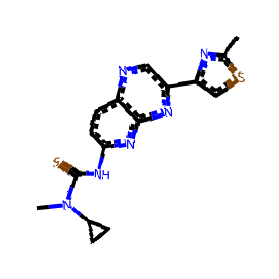 Cc1nc(-c2cnc3ccc(NC(=S)N(C)C4CC4)nc3n2)cs1